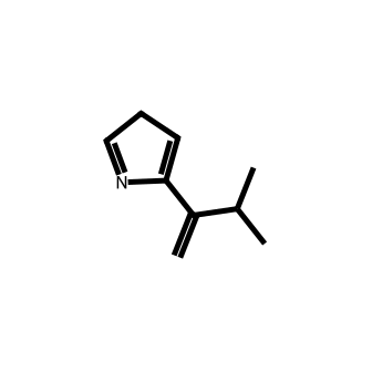 C=C(C1=CCC=N1)C(C)C